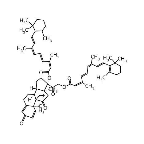 CC(C=CC1=C(C)CCCC1(C)C)=CC=CC(C)=CC(=O)OCC(=O)[C@]1(OC(=O)C=C(C)C=CC=C(C)C=CC2=C(C)CCCC2(C)C)CC[C@H]2[C@@H]3CCC4=CC(=O)C=C[C@]4(C)[C@@]3(CF)C(=O)C[C@@]21C